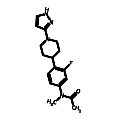 CC(=O)N(C)c1ccc(C2CCN(c3cc[nH]n3)CC2)c(F)c1